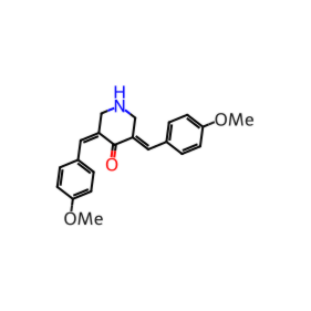 COc1ccc(/C=C2/CNC/C(=C\c3ccc(OC)cc3)C2=O)cc1